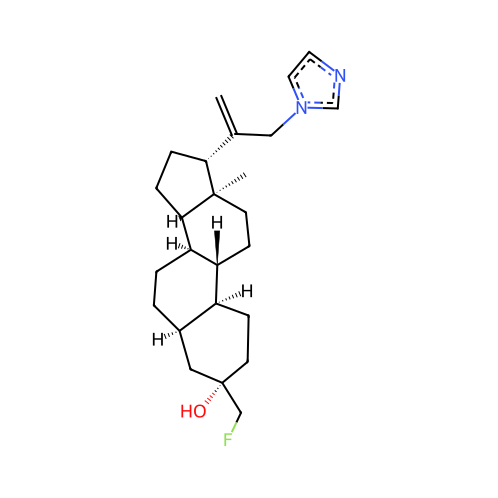 C=C(Cn1ccnc1)[C@H]1CC[C@H]2[C@@H]3CC[C@@H]4C[C@](O)(CF)CC[C@@H]4[C@H]3CC[C@]12C